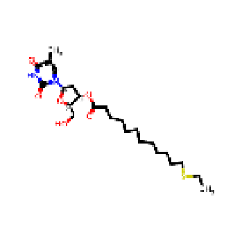 CCSCCCCCCCCCCCC(=O)O[C@H]1C[C@H](n2cc(C)c(=O)[nH]c2=O)O[C@@H]1CO